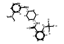 CN(C)c1ccnc(N[C@H]2CC[C@@H](NC(=O)c3ccccc3OC(F)(F)F)CC2)n1